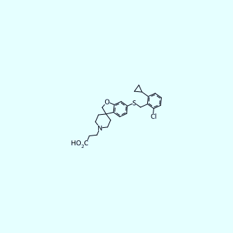 O=C(O)CCN1CCC2(CC1)COc1cc(SCc3c(Cl)cccc3C3CC3)ccc12